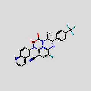 C[C@H](NC(=O)O)[C@@H](Nc1nc(Nc2ccc3ncccc3c2)c(C#N)cc1F)c1ccc(C(F)(F)F)cc1